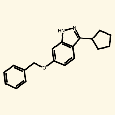 c1ccc(COc2ccc3c(C4CCCC4)n[nH]c3c2)cc1